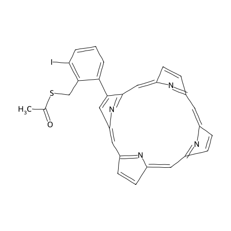 CC(=O)SCc1c(I)cccc1C1=CC2=CC3=NC(=CC4=NC(=CC5=NC(=CC1=N2)C=C5)C=C4)C=C3